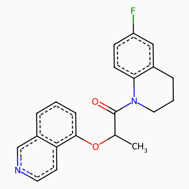 CC(Oc1cccc2cnccc12)C(=O)N1CCCc2cc(F)ccc21